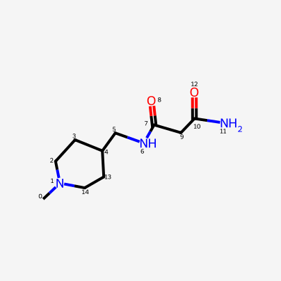 CN1CCC(CNC(=O)CC(N)=O)CC1